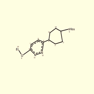 CCCCCCC1CCC(c2ccc(OCC)nn2)CC1